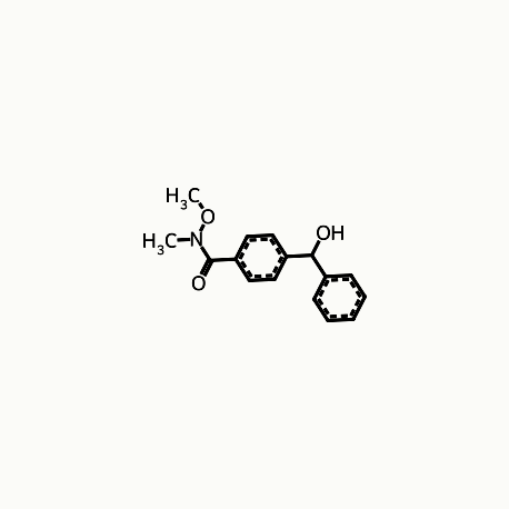 CON(C)C(=O)c1ccc(C(O)c2ccccc2)cc1